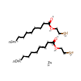 CCCCCCCCCCCCCCCCCC(=O)OCCS.CCCCCCCCCCCCCCCCCC(=O)OCCS.[Zn]